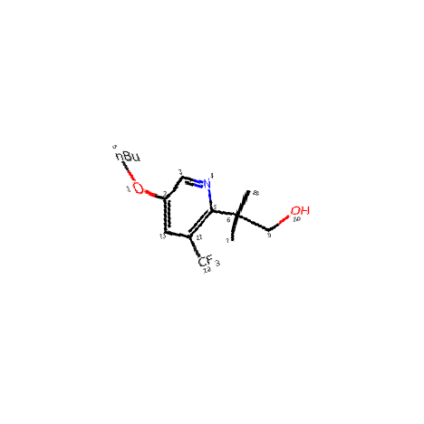 CCCCOc1cnc(C(C)(C)CO)c(C(F)(F)F)c1